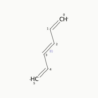 [CH]=C/C=C/C=[CH]